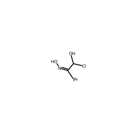 CC(C)C(=NO)C(O)Cl